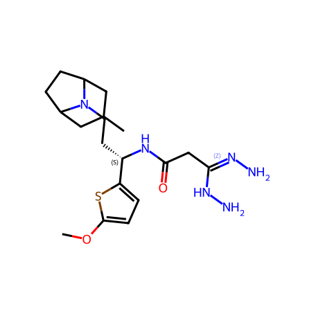 COc1ccc([C@H](CCN2C3CCC2CC(C)C3)NC(=O)C/C(=N/N)NN)s1